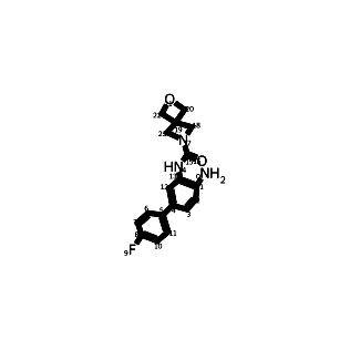 Nc1ccc(-c2ccc(F)cc2)cc1NC(=O)N1CC2(COC2)C1